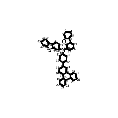 c1ccc2c(c1)oc1c(N(c3ccc(-c4ccc5c6ccccc6c6ccccc6c5c4)cc3)c3ccc4c(c3)sc3ccccc34)cccc12